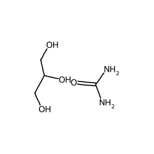 NC(N)=O.OCC(O)CO